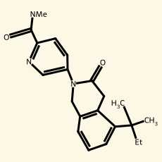 CCC(C)(C)c1cccc2c1CC(=O)N(c1ccc(C(=O)NC)nc1)C2